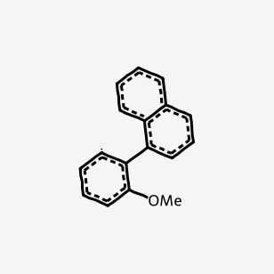 COc1ccc[c]c1-c1cccc2ccccc12